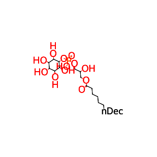 CCCCCCCCCCCCCCCC(=O)OCC(O)COP(=O)(O)OC1C(O)C(O)C(O)C(O)C1O